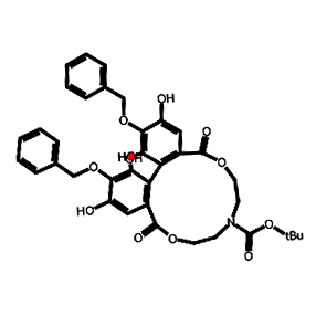 CC(C)(C)OC(=O)N1CCOC(=O)c2cc(O)c(OCc3ccccc3)c(O)c2-c2c(cc(O)c(OCc3ccccc3)c2O)C(=O)OCC1